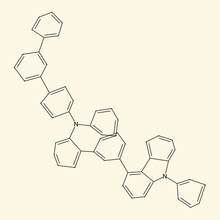 c1ccc(-c2cccc(-c3ccc(N(c4ccccc4)c4ccccc4-c4cccc(-c5cccc6c5c5ccccc5n6-c5ccccc5)c4)cc3)c2)cc1